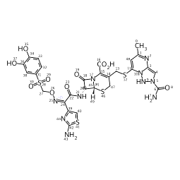 CC1=NC2=CN(C(N)=O)NN2C(SCC2=C(C(=O)O)N3C(=O)[C@@H](NC(=O)/C(=N\OCS(=O)(=O)c4ccc(O)c(O)c4)c4csc(N)n4)[C@H]3SC2)=C1